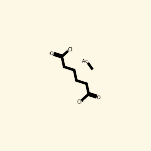 CC(C)=O.O=C(Cl)CCCCC(=O)Cl